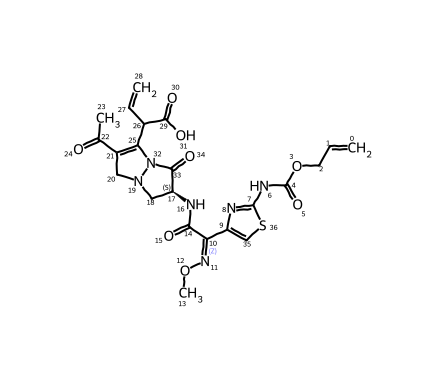 C=CCOC(=O)Nc1nc(/C(=N/OC)C(=O)N[C@H]2CN3CC(C(C)=O)=C(C(C=C)C(=O)O)N3C2=O)cs1